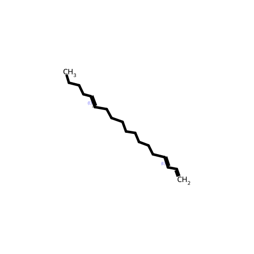 C=C/C=C/CCCCCCCC/[C]=C/CCCC